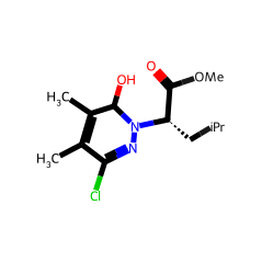 COC(=O)[C@H](CC(C)C)N1N=C(Cl)C(C)=C(C)C1O